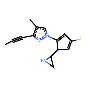 CC#Cc1nn(C2=CC(F)=CC2C2CN2)cc1C